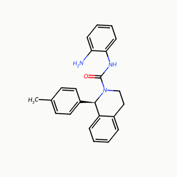 Cc1ccc([C@@H]2c3ccccc3CCN2C(=O)Nc2ccccc2N)cc1